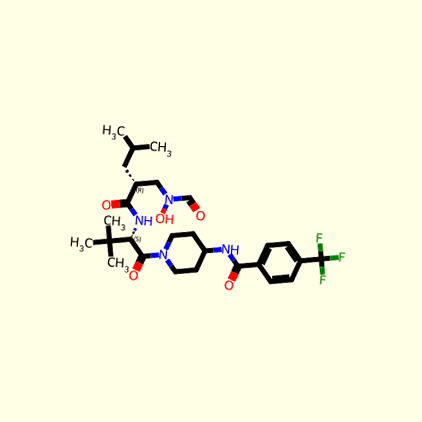 CC(C)C[C@H](CN(O)C=O)C(=O)N[C@H](C(=O)N1CCC(NC(=O)c2ccc(C(F)(F)F)cc2)CC1)C(C)(C)C